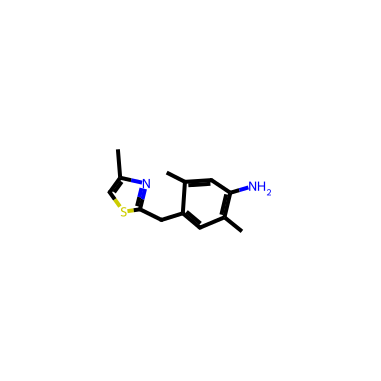 Cc1csc(Cc2cc(C)c(N)cc2C)n1